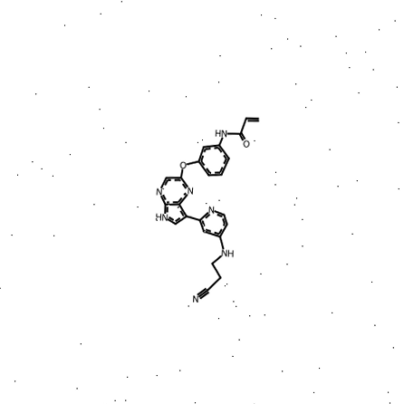 C=CC(=O)Nc1cccc(Oc2cnc3[nH]cc(-c4cc(NCCC#N)ccn4)c3n2)c1